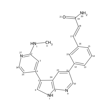 CNc1cc(-c2c[nH]c3ncc(-c4cccc(C=CC(N)=O)c4)cc23)ccn1